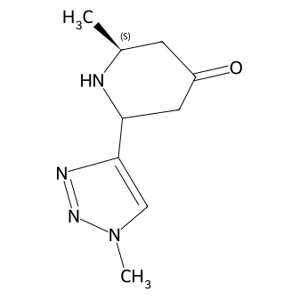 C[C@H]1CC(=O)CC(c2cn(C)nn2)N1